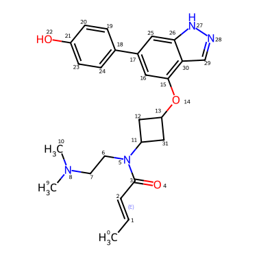 C/C=C/C(=O)N(CCN(C)C)C1CC(Oc2cc(-c3ccc(O)cc3)cc3[nH]ncc23)C1